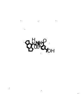 CC(C)(O)c1ccc2c(c1)C(=O)N[S@]2(=O)=NC(=O)Nc1c2c(cc3c1CCC3)CCC2